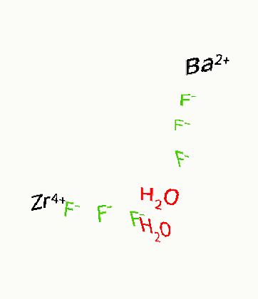 O.O.[Ba+2].[F-].[F-].[F-].[F-].[F-].[F-].[Zr+4]